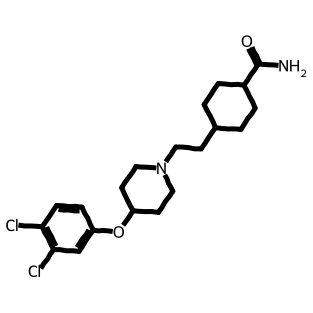 NC(=O)C1CCC(CCN2CCC(Oc3ccc(Cl)c(Cl)c3)CC2)CC1